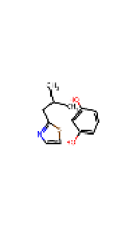 CC(C)Cc1nccs1.Oc1cccc(O)c1